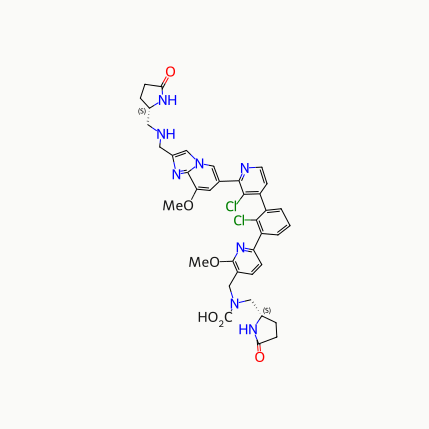 COc1nc(-c2cccc(-c3ccnc(-c4cc(OC)c5nc(CNC[C@@H]6CCC(=O)N6)cn5c4)c3Cl)c2Cl)ccc1CN(C[C@@H]1CCC(=O)N1)C(=O)O